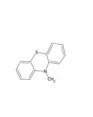 [CH2]N1c2ccccc2Sc2ccccc21